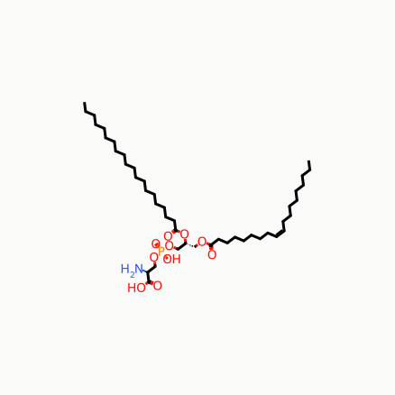 CCCCCCCCC/C=C\CCCCCCCC(=O)OC[C@H](COP(=O)(O)OC[C@H](N)C(=O)O)OC(=O)CCCCCCCCCCCCCCCCCCC